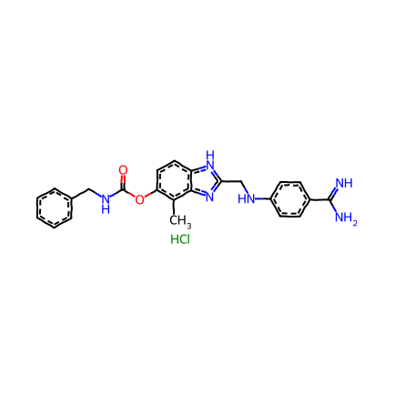 Cc1c(OC(=O)NCc2ccccc2)ccc2[nH]c(CNc3ccc(C(=N)N)cc3)nc12.Cl